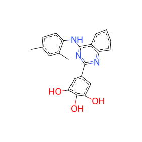 Cc1ccc(Nc2nc(-c3cc(O)c(O)c(O)c3)nc3ccccc23)c(C)c1